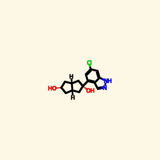 O[C@@H]1C[C@@H]2C[C@@](O)(c3cc(Cl)cc4[nH]ncc34)C[C@@H]2C1